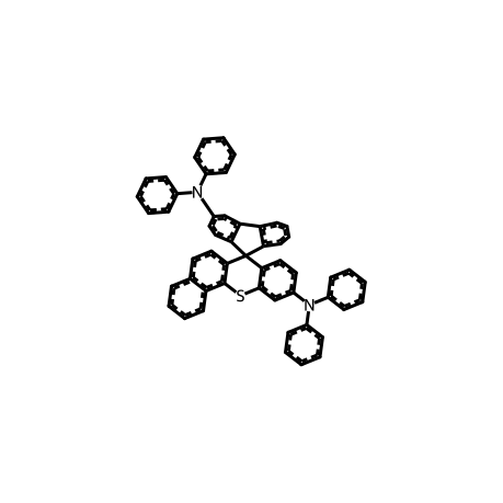 c1ccc(N(c2ccccc2)c2ccc3c(c2)Sc2c(ccc4ccccc24)C32c3ccccc3-c3cc(N(c4ccccc4)c4ccccc4)ccc32)cc1